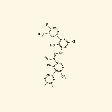 Cc1ccc(-c2c(C(F)(F)F)ccc3c2NC(=O)C3=NNc2cc(Cl)cc(-c3ccc(F)c(C(=O)O)c3)c2O)cc1C